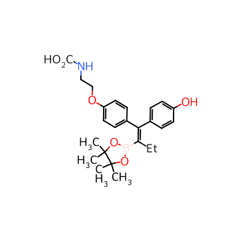 CC/C(B1OC(C)(C)C(C)(C)O1)=C(\c1ccc(O)cc1)c1ccc(OCCNC(=O)O)cc1